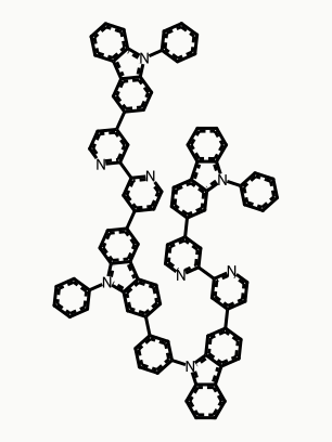 c1ccc(-n2c3ccccc3c3cc(-c4ccnc(-c5cc(-c6ccc7c(c6)c6ccc(-c8cccc(-n9c%10ccccc%10c%10ccc(-c%11ccnc(-c%12cc(-c%13ccc%14c%15ccccc%15n(-c%15ccccc%15)c%14c%13)ccn%12)c%11)cc%109)c8)cc6n7-c6ccccc6)ccn5)c4)ccc32)cc1